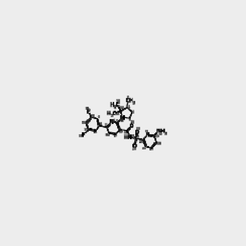 CC1CCN(c2nc(-c3cc(F)cc(F)c3)ccc2C(=O)NS(=O)(=O)c2cccc(N)n2)C1(C)C